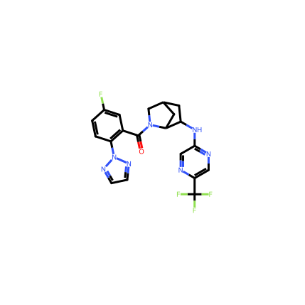 O=C(c1cc(F)ccc1-n1nccn1)N1CC2CC(Nc3cnc(C(F)(F)F)cn3)C1C2